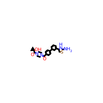 NC1NC(c2cccc(-c3ccc(C(=O)N4CCN(C(=O)C5(O)CC5)CC4)cc3)c2)CS1